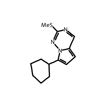 CSc1ncc2ccc(C3CCCCC3)n2n1